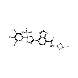 O=C(NC1C[S+]([O-])C1)c1ccc(C2=NOC(c3cc(Cl)c(F)c(Cl)c3)(C(F)(F)F)C2)c2ccoc12